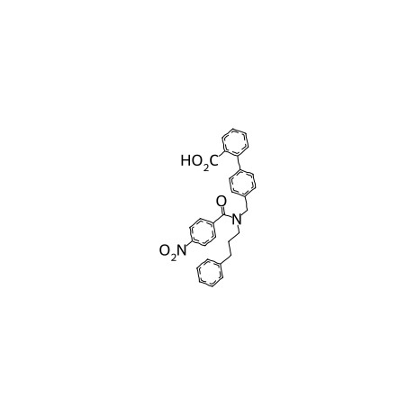 O=C(O)c1ccccc1-c1ccc(CN(CCCc2ccccc2)C(=O)c2ccc([N+](=O)[O-])cc2)cc1